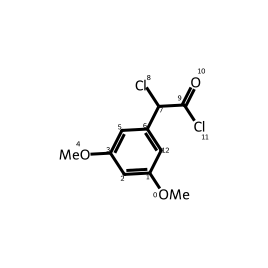 COc1cc(OC)cc(C(Cl)C(=O)Cl)c1